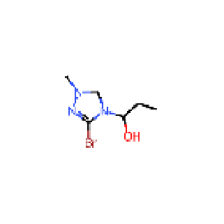 CCC(O)N1CN(C)N=C1Br